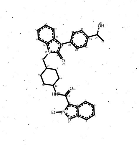 CCn1nc2ccccc2c1C(=O)NC1CCC(Cn2c(=O)n(-c3ccc(C(C)O)cc3)c3ccccc32)CC1